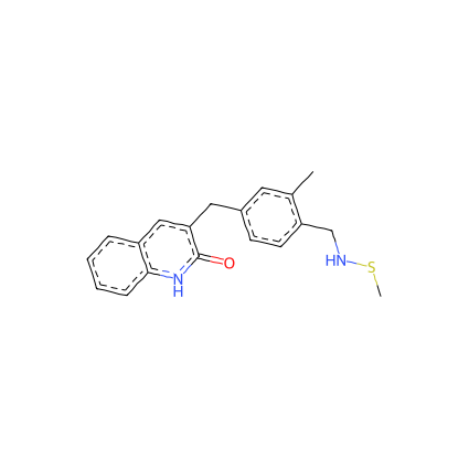 CSNCc1ccc(Cc2cc3ccccc3[nH]c2=O)cc1C